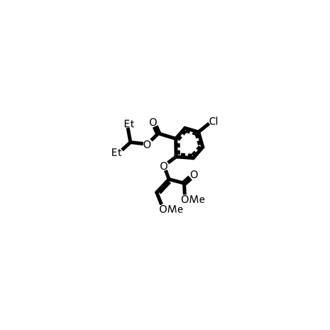 CCC(CC)OC(=O)c1cc(Cl)ccc1OC(=COC)C(=O)OC